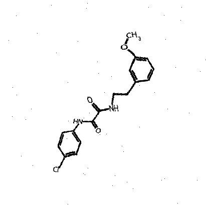 COc1cccc(CCNC(=O)C(=O)Nc2ccc(Cl)cc2)c1